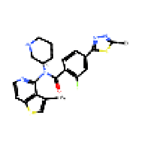 CCc1nnc(-c2ccc(C(=O)N(c3nccc4scc(C)c34)[C@@H]3CCCNC3)c(F)c2)s1